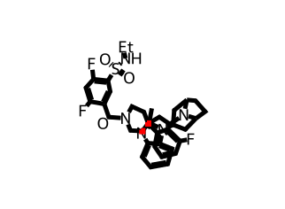 CCNS(=O)(=O)c1cc(C(=O)N2CCC(CCN3C4CCC3CC(n3c(C)nc5ccccc53)C4)(c3cccc(F)c3)CC2)c(F)cc1F